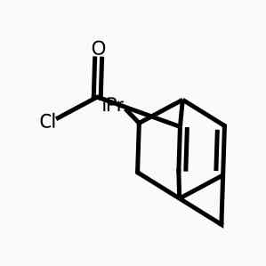 CC(C)C1CC23C=C(C(=O)Cl)C1C=C2C3